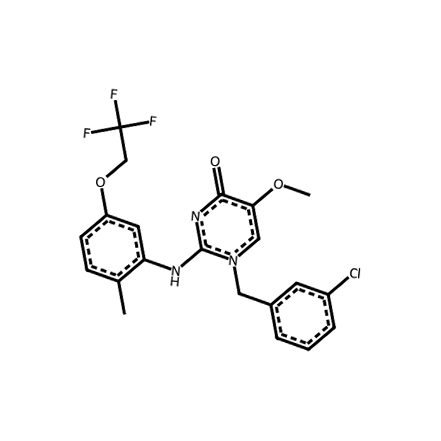 COc1cn(Cc2cccc(Cl)c2)c(Nc2cc(OCC(F)(F)F)ccc2C)nc1=O